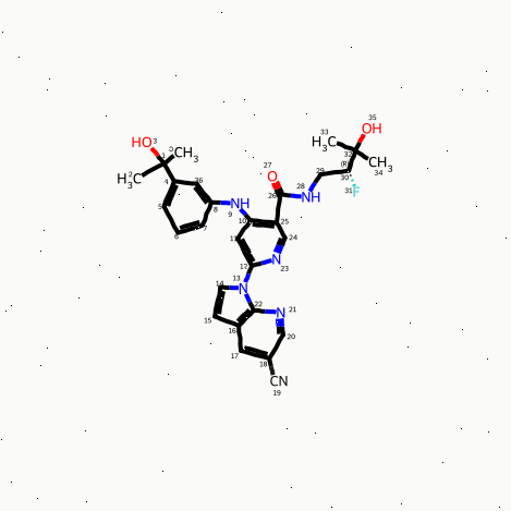 CC(C)(O)c1cccc(Nc2cc(-n3ccc4cc(C#N)cnc43)ncc2C(=O)NC[C@@H](F)C(C)(C)O)c1